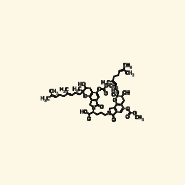 COC(=O)Oc1cc2c(c3c1C[C@H](O)[C@@](C)(CC/C=C(\C)CCC=C(C)C)O3)CN(CCC[C@@H](C(=O)O)N1Cc3c(cc(OC(=O)OC)c4c3O[C@](C)(CC/C=C(\C)CCC=C(C)C)[C@@H](O)C4)C1=O)C2=O